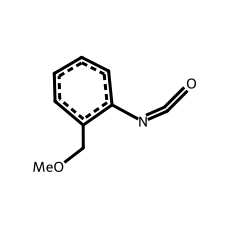 COCc1ccccc1N=C=O